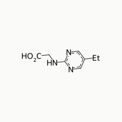 CCc1cnc(NCC(=O)O)nc1